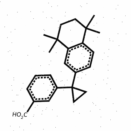 CC1(C)CCC(C)(C)c2cc(C3(c4cccc(C(=O)O)c4)CC3)ccc21